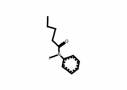 CCCCC(=O)N(I)c1cc[c]cc1